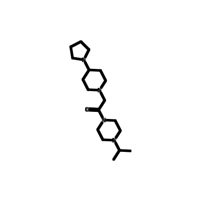 CC(C)N1CCN(C(=O)CN2CCC(N3CCCC3)CC2)CC1